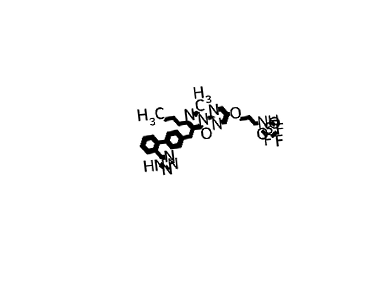 CCCCc1nc(C)n(-c2ncc(OCCCNS(=O)(=O)C(F)(F)F)cn2)c(=O)c1Cc1ccc(-c2ccccc2-c2nnn[nH]2)cc1